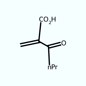 C=C(C(=O)O)C(=O)CCC